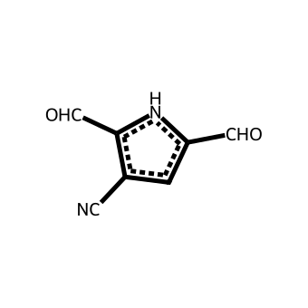 N#Cc1cc(C=O)[nH]c1C=O